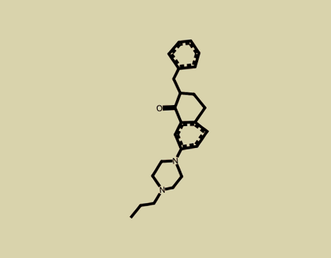 CCCN1CCN(c2ccc3c(c2)C(=O)C(Cc2ccccc2)CC3)CC1